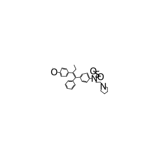 CCC(=C(c1ccccc1)c1ccc(N(CCN2CCCC2)S(C)(=O)=O)cc1)c1ccc(OC)cc1